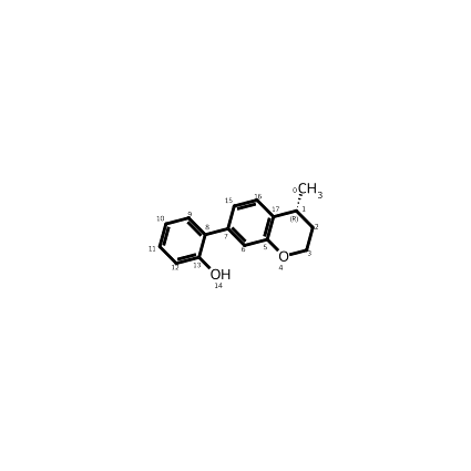 C[C@@H]1CCOc2cc(-c3ccccc3O)ccc21